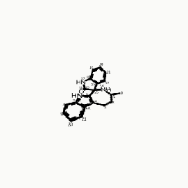 CC1CCc2c([nH]c3ccccc23)C2(N1)C(=O)Nc1ccccc12